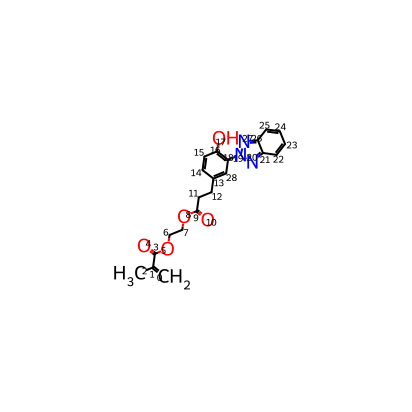 C=C(C)C(=O)OCCOC(=O)CCc1ccc(O)c(-n2nc3ccccc3n2)c1